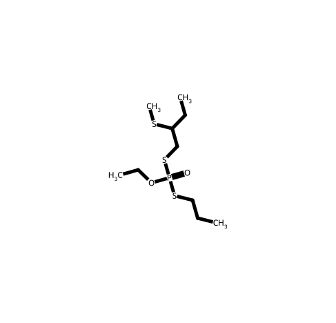 CCCSP(=O)(OCC)SCC(CC)SC